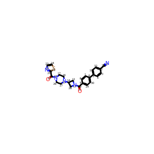 N#Cc1ccc(-c2ccc(C(=O)N3CC(N4CCN(C(=O)c5nccs5)CC4)C3)cc2)cc1